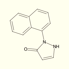 O=c1cc[nH]n1-c1cccc2ccccc12